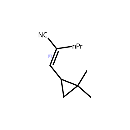 CCC/C(C#N)=C\C1CC1(C)C